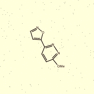 COc1ccc(-c2c[c]no2)nn1